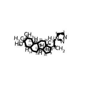 C=C(Cn1ccnn1)[C@H]1CC[C@H]2[C@@H]3CC[C@H]4C[C@](C)(O)[C@H](C)C[C@@H]4[C@H]3CC[C@]12C